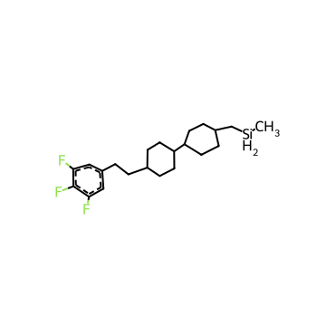 C[SiH2]CC1CCC(C2CCC(CCc3cc(F)c(F)c(F)c3)CC2)CC1